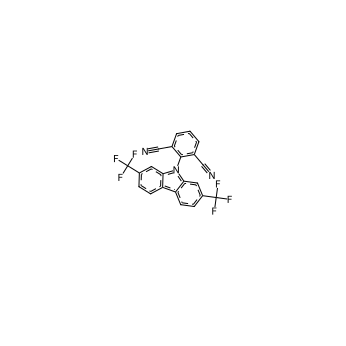 N#Cc1cccc(C#N)c1-n1c2cc(C(F)(F)F)ccc2c2ccc(C(F)(F)F)cc21